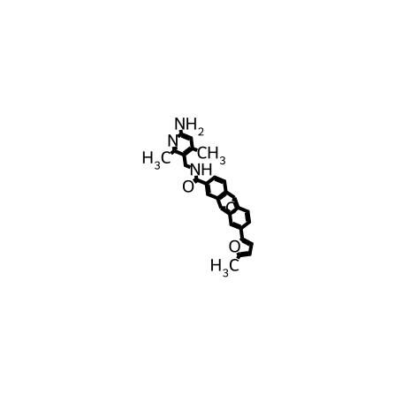 Cc1ccc(-c2ccc3c(c2)c2oc3c3ccc(C(=O)NCc4c(C)cc(N)nc4C)cc32)o1